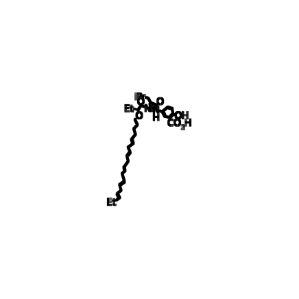 CCC=CCC=CCC=CCC=CCC=CCCCCO[C@@H](CC)C(=O)NC(CC(C)C)C(=O)Nc1ccc(O)c(C(=O)O)c1